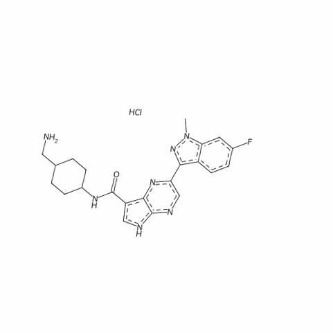 Cl.Cn1nc(-c2cnc3[nH]cc(C(=O)NC4CCC(CN)CC4)c3n2)c2ccc(F)cc21